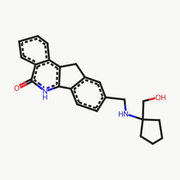 O=c1[nH]c2c(c3ccccc13)Cc1cc(CNC3(CO)CCCC3)ccc1-2